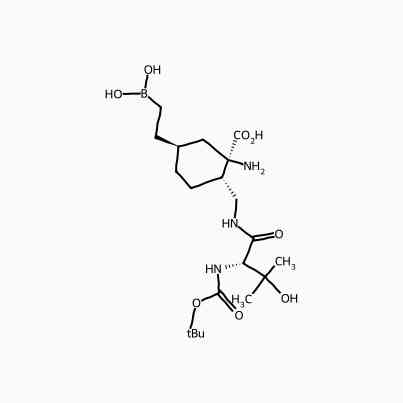 CC(C)(C)OC(=O)N[C@H](C(=O)NC[C@@H]1CC[C@@H](CCB(O)O)C[C@]1(N)C(=O)O)C(C)(C)O